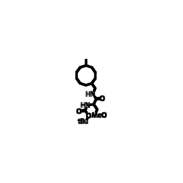 COCC(NC(=O)OC(C)(C)C)C(=O)NCC1CCCCCC(C)CCC1